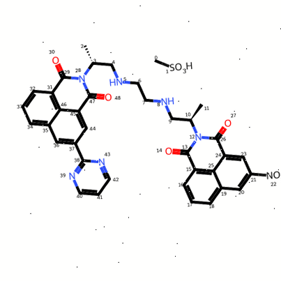 CS(=O)(=O)O.C[C@H](CNCCNC[C@@H](C)N1C(=O)c2cccc3cc([N+](=O)[O-])cc(c23)C1=O)N1C(=O)c2cccc3cc(-c4ncccn4)cc(c23)C1=O